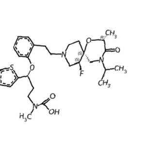 CC(C)N1C[C@]2(CCN(CCc3ccccc3OC(CCN(C)C(=O)O)c3cccs3)C[C@@H]2F)O[C@H](C)C1=O